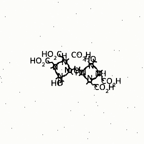 CC(=O)O.CC1=C(CCC(=O)O)c2cc3[nH]c(cc4nc(cc5[nH]c(cc1n2)c(C)c5C(C)OC(C)C1=C(C)c2cc5[nH]c(cc6nc(cc7[nH]c(cc1n2)c(C)c7CCC(=O)O)C(CCC(=O)O)=C6C)c(C)c5C(C)O)C(C)=C4C(C)O)c(C)c3CCC(=O)O